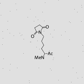 CNC(CCCCN1C(=O)CCC1=O)C(C)=O